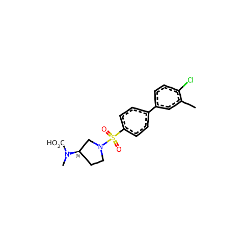 Cc1cc(-c2ccc(S(=O)(=O)N3CC[C@@H](N(C)C(=O)O)C3)cc2)ccc1Cl